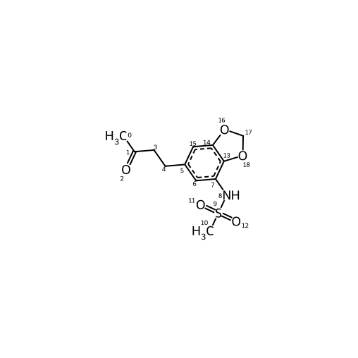 CC(=O)CCc1cc(NS(C)(=O)=O)c2c(c1)OCO2